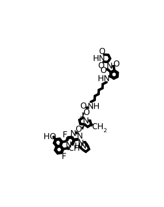 C#Cc1c(F)ccc2cc(O)cc(-c3ncc4c(N5CC6CCC(C5)N6)nc(OC[C@@]56CC[C@@H](COC(=O)NCCCCCCCCNc7cccc8c7C(=O)N(C7CCC(=O)NC7=O)C8=O)N5CC(=C)C6)nc4c3F)c12